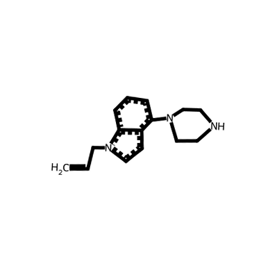 C=CCn1ccc2c(N3CCNCC3)cccc21